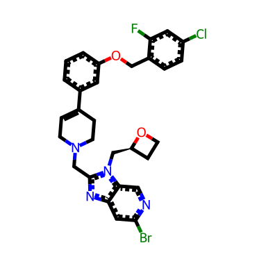 Fc1cc(Cl)ccc1COc1cccc(C2=CCN(Cc3nc4cc(Br)ncc4n3C[C@@H]3CCO3)CC2)c1